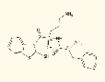 C[C@@](CCCN)(NC(=O)[C@H](N)Cc1ccccc1)C(=O)N1c2ccccc2SC1S